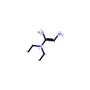 CCN(CC)/C(N)=C/N